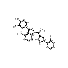 CC(c1cn(-c2ccccc2F)nn1)n1cc(-c2ccc(Cl)c(F)c2)c2c(N)ncnc21